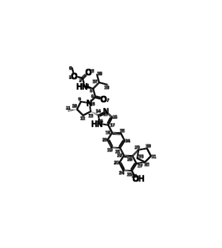 COC(=O)N[C@H](C(=O)N1C[C@@H](C)C[C@H]1c1ncc(-c2ccc(-c3ccc(O)c4c3C3CCC4C3)cc2)[nH]1)C(C)C